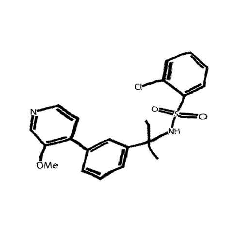 COc1cnccc1-c1cccc(C(C)(C)NS(=O)(=O)c2ccccc2Cl)c1